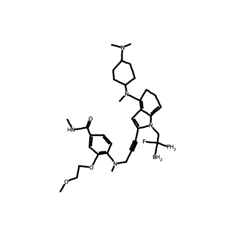 BC(F)(P)Cn1c(C#CCN(C)c2ccc(C(=O)NC)cc2OCCOC)cc2c1=CCCC=2N(C)C1CCC(N(C)C)CC1